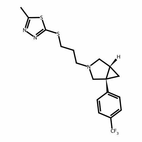 Cc1nnc(SCCCN2C[C@@H]3C[C@]3(c3ccc(C(F)(F)F)cc3)C2)s1